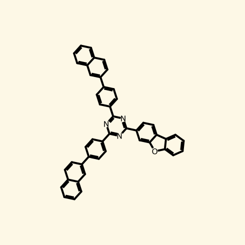 c1ccc2cc(-c3ccc(-c4nc(-c5ccc(-c6ccc7ccccc7c6)cc5)nc(-c5ccc6c(c5)oc5ccccc56)n4)cc3)ccc2c1